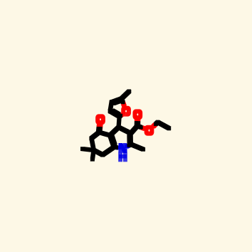 CCOC(=O)C1=C(C)NC2=C(C(=O)CC(C)(C)C2)C1c1ccc(C)o1